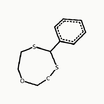 c1ccc(C2SCCOCCS2)cc1